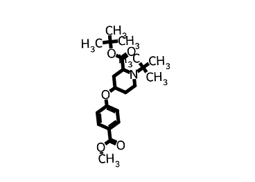 COC(=O)c1ccc(OC2CCN(C(C)(C)C)C(C(=O)OC(C)(C)C)C2)cc1